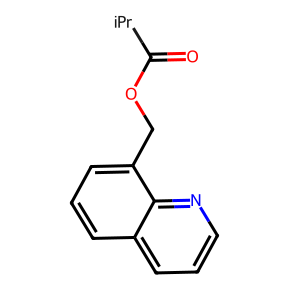 CC(C)C(=O)OCc1cccc2cccnc12